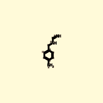 N=[C]NCc1ccc(N)cc1